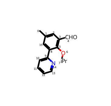 Cc1cc(C=O)c(OC(C)C)c(-c2ccccn2)c1